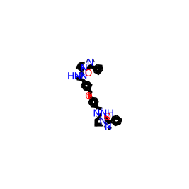 CN(C)[C@@H](C(=O)N1CCC[C@H]1C1=NC(c2ccc(OCc3ccc(-c4c[nH]c([C@@H]5CCCN5C(=O)[C@@H](c5ccccc5)N(C)C)n4)cc3)cc2)CN1)c1ccccc1